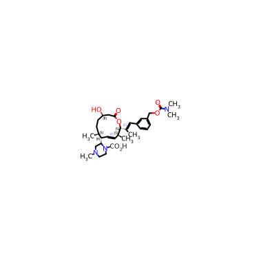 C/C(=C\c1cccc(COC(=O)N(C)C)c1)[C@H]1OC(=O)C[C@H](O)CC[C@H](C)[C@@H](C2CN(C)CCN2C(=O)O)/C=C/[C@@H]1C